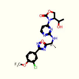 CC(O)C1COC(=O)N1c1ccnc(N[C@H](C)c2nc(-c3ccc(OC(F)(F)F)c(Cl)c3)no2)n1